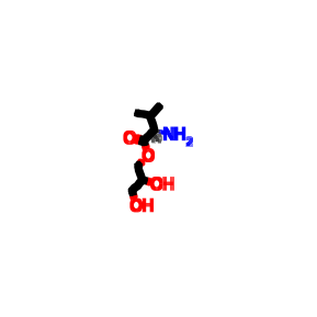 CC(C)[C@H](N)C(=O)OCC(O)CO